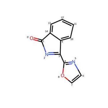 O=C1N=C(c2ncco2)c2ccccc21